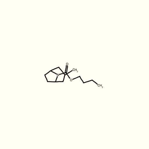 CCCCOC(=O)N1C2CCC1CC(C)C2